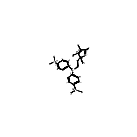 CC1=PC(C)(CCP(c2ccc(N(C)C)cc2)c2ccc(N(C)C)cc2)C(C)=C1C